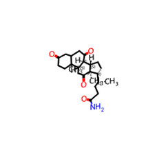 C[C@H](CCC(N)=O)[C@H]1CC[C@H]2[C@@H]3C(=O)CC4CC(=O)CC[C@]4(C)[C@H]3CC(=O)[C@]12C